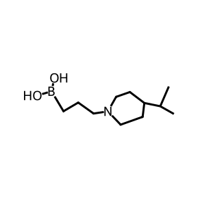 CC(C)C1CCN(CCCB(O)O)CC1